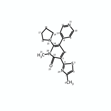 Cc1csc(-c2cc(-c3ccncc3)c(N3CCCC3)n(C)c2=O)n1